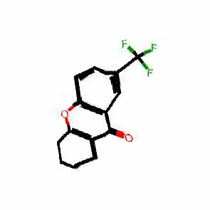 O=c1c2c(oc3ccc(C(F)(F)F)cc13)CCCC2